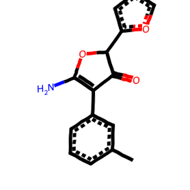 Cc1cccc(C2=C(N)OC(c3ccco3)C2=O)c1